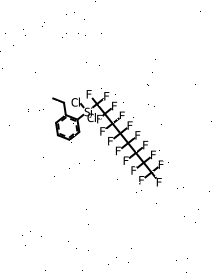 CCc1ccccc1[Si](Cl)(Cl)C(F)(F)C(F)(F)C(F)(F)C(F)(F)C(F)(F)C(F)(F)C(F)(F)C(F)(F)F